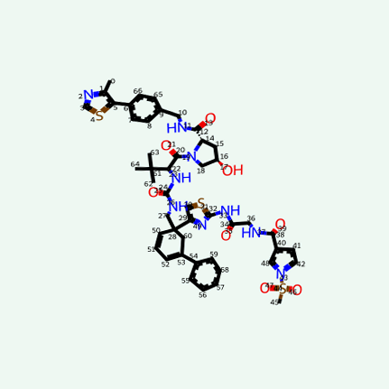 Cc1ncsc1-c1ccc(CNC(=O)[C@@H]2C[C@@H](O)CN2C(=O)C(NC(=O)NCC2(c3csc(NC(=O)CNC(=O)c4ccn(S(C)(=O)=O)c4)n3)C=CC=C(c3ccccc3)C2)C(C)(C)C)cc1